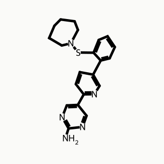 Nc1ncc(-c2ccc(-c3ccccc3SN3CCCCCC3)cn2)cn1